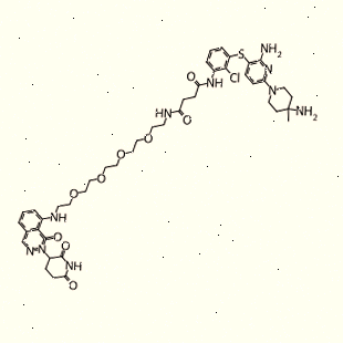 CC1(N)CCN(c2ccc(Sc3cccc(NC(=O)CCC(=O)NCCOCCOCCOCCOCCNc4cccc5cnn(C6CCC(=O)NC6=O)c(=O)c45)c3Cl)c(N)n2)CC1